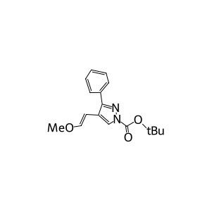 COC=Cc1cn(C(=O)OC(C)(C)C)nc1-c1ccccc1